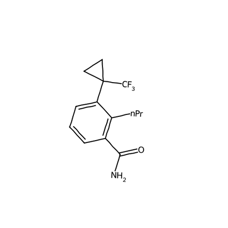 CCCc1c(C(N)=O)cccc1C1(C(F)(F)F)CC1